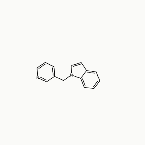 [c]1ccc2c(c1)ccn2Cc1cccnc1